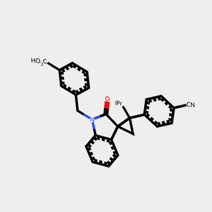 CC(C)C1(c2ccc(C#N)cc2)CC12C(=O)N(Cc1cccc(C(=O)O)c1)c1ccccc12